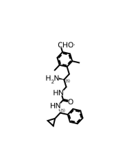 Cc1cc([C]=O)cc(C)c1C[C@H](N)CNC(=O)N[C@H](c1ccccc1)C1CC1